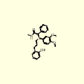 CNC(=O)C(c1ccccc1)N(CCCc1ccccc1O)c1ccc(OC)c(OC)c1